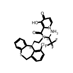 C[C@H](N(CC[C@@H]1c2ccccc2SCc2cccc(Cl)c21)C(=O)c1c(O)c(=O)ccn1N)C(F)(F)F